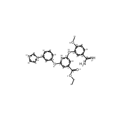 CCOC(=O)c1cc(Oc2cccc(-n3ccnc3)c2)nc(Oc2cc(C(=N)N)ccc2OC)c1